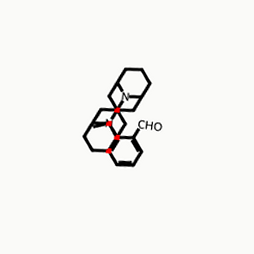 CN(c1ccccc1C=O)C1CC2CCCC(C1)N2C1CC2CCCC(C2)C1